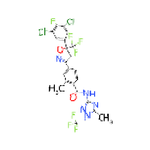 Cc1cc(C2=NOC(c3cc(Cl)c(F)c(Cl)c3)(C(F)(F)F)C2)ccc1C(=O)Nc1nc(C)n(CC(F)(F)F)n1